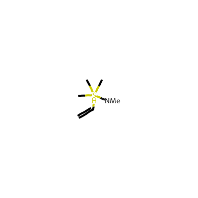 C=C[SH](C)(C)(C)NC